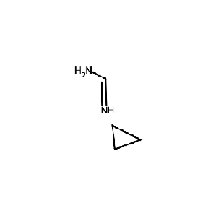 C1CC1.N=CN